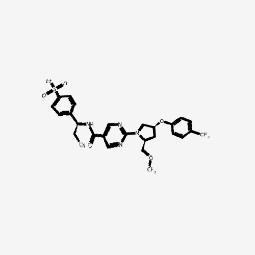 CCS(=O)(=O)c1ccc([C@H](CC#N)NC(=O)c2cnc(N3C[C@@H](Oc4ccc(C(F)(F)F)cc4)C[C@H]3COC(F)(F)F)nc2)cc1